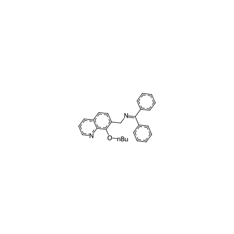 CCCCOc1c(CN=C(c2ccccc2)c2ccccc2)ccc2cccnc12